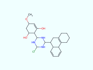 COC1C=C(O)C(C2NC(Cl)NC(C3CC4=C(CCCC4)C4C=CC=CC43)N2)C(O)C1